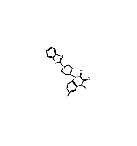 Cn1c(=O)c(=O)n(C2CCN(c3nc4ccccc4s3)CC2)c2ccc(F)cc21